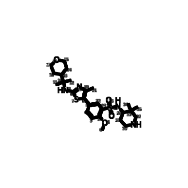 COc1ccc(-c2sc(NC(C)(C)C3CCOCC3)nc2C)cc1S(=O)(=O)NC1CCNCC1(C)C